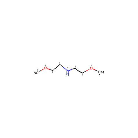 N#COCCNCCOC#N